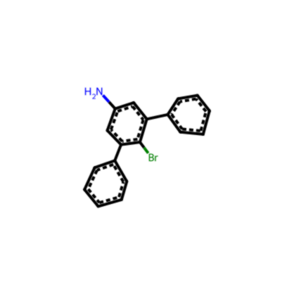 Nc1cc(-c2ccccc2)c(Br)c(-c2ccccc2)c1